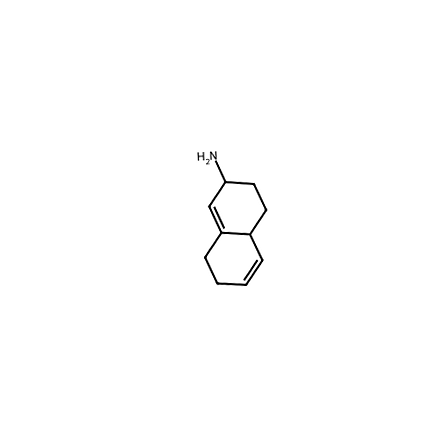 NC1C=C2CCC=CC2CC1